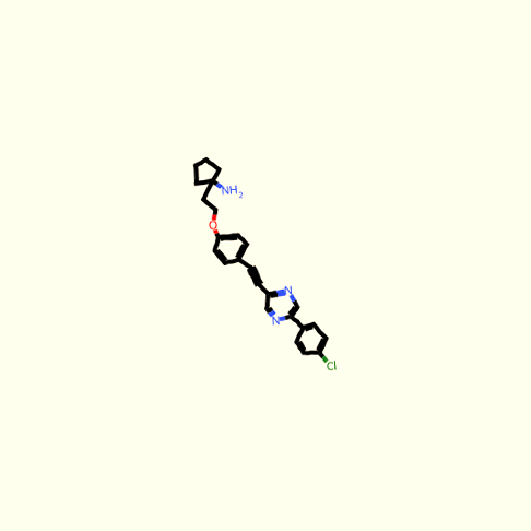 NC1(CCOc2ccc(C#Cc3cnc(-c4ccc(Cl)cc4)cn3)cc2)CCCC1